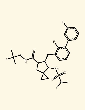 CC(C)(F)CNC(=O)N1CC2(CC2)[C@H](NS(=O)(=O)C(F)F)[C@@H]1Cc1cccc(-c2cccc(F)c2)c1F